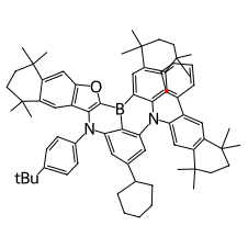 CC(C)(C)c1ccc(N2c3cc(C4CCCCC4)cc4c3B(c3cc5c(cc3N4c3cc4c(cc3-c3ccccc3)C(C)(C)CCC4(C)C)C(C)(C)CCC5(C)C)c3oc4cc5c(cc4c32)C(C)(C)CCC5(C)C)cc1